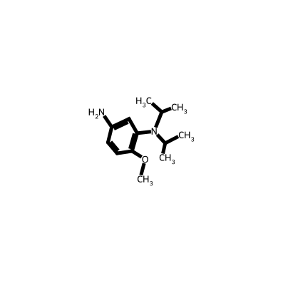 COc1ccc(N)cc1N(C(C)C)C(C)C